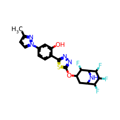 Cc1ccn(-c2ccc(-c3nnc(OC4CC5NC(C4F)C(F)C(F)C5F)s3)c(O)c2)n1